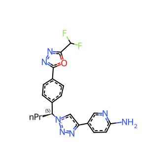 CCC[C@@H](c1ccc(-c2nnc(C(F)F)o2)cc1)n1cc(-c2ccc(N)nc2)nn1